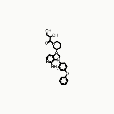 Nc1nccc2c1N(c1ccc(Oc3ccccc3)cc1)CN2[C@@H]1CCCN(C(=O)C(O)CO)C1